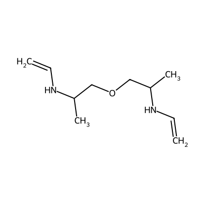 C=CNC(C)COCC(C)NC=C